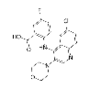 O=C(O)c1cc(F)ccc1Nc1c(N2CCOCC2)cnc2ccc(Cl)cc12